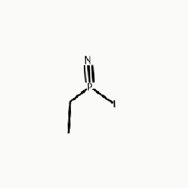 CCP(#N)I